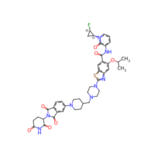 CC(C)Oc1cc2nc(N3CCN(CC4CCN(c5ccc6c(c5)C(=O)N(C5CCC(=O)NC5=O)C6=O)CC4)CC3)sc2cc1C(=O)Nc1cccn([C@H]2C[C@H]2F)c1=O